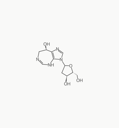 OC[C@H]1OC(n2cnc3c2NC=NC[C@H]3O)C[C@@H]1O